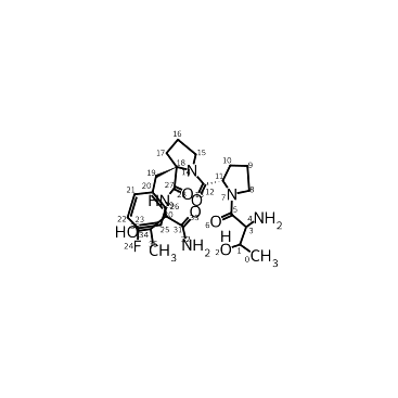 CC(O)C(N)C(=O)N1CCC[C@H]1C(=O)N1CCC[C@@]1(Cc1ccc(F)cc1)C(=O)NC(C(N)=O)C(C)O